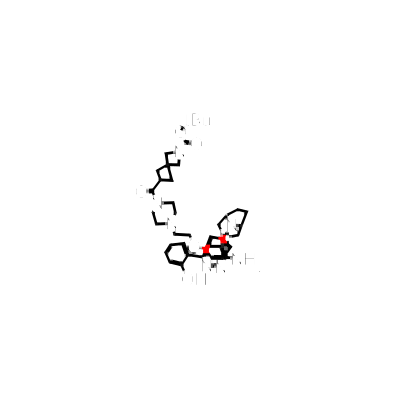 CC(C)(C)OC(=O)N1CC2(CC(C(=O)N3CCN(CCOc4cccc(N5C6CCC5CN(c5cc(-c7ccccc7O)nnc5N)C6)c4)CC3)C2)C1